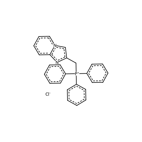 [Cl-].c1ccc([P+](Cc2cn3ccccc3n2)(c2ccccc2)c2ccccc2)cc1